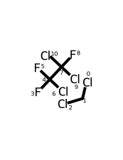 ClCCl.FC(F)(Cl)C(F)(Cl)Cl